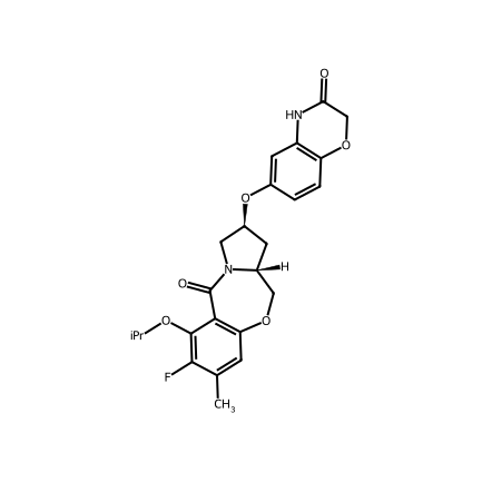 Cc1cc2c(c(OC(C)C)c1F)C(=O)N1C[C@@H](Oc3ccc4c(c3)NC(=O)CO4)C[C@@H]1CO2